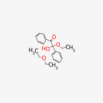 CCOC(O)(C(=O)c1ccccc1)c1ccccc1.CCOCC